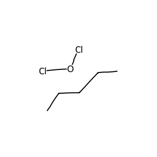 CCCCC.ClOCl